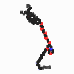 CCCCC/C=C\C/C=C\CCCCCCCCOCC(CN1CCOCC1)OCCOCCOCCOCCO[C@H]1CC[C@@]2(C)C(=CC[C@H]3[C@@H]4CC[C@H]([C@H](C)CCCC(C)C)[C@@]4(C)CC[C@@H]32)C1